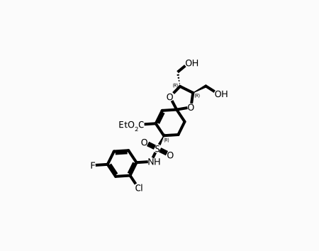 CCOC(=O)C1=CC2(CC[C@H]1S(=O)(=O)Nc1ccc(F)cc1Cl)O[C@H](CO)[C@@H](CO)O2